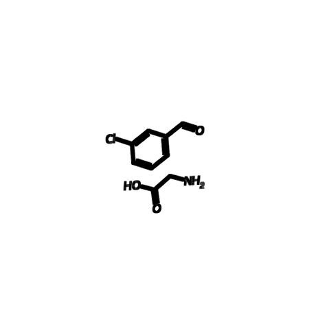 NCC(=O)O.O=Cc1cccc(Cl)c1